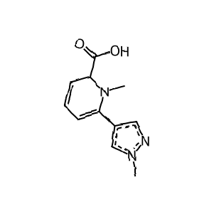 CN1C(c2cnn(C)c2)=CC=CC1C(=O)O